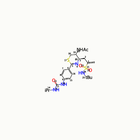 C=C(C[C@H]1N=C(c2ccc(NC(=O)NC(C)C)cc2)SCC1NC(C)=O)S(=O)(=O)NC(C)(C)C